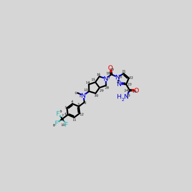 CN(Cc1ccc(C(F)(F)F)cc1)C1CC2CN(C(=O)n3ccc(C(N)=O)n3)CC2C1